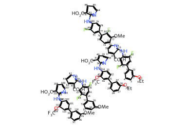 CCOc1cccc(-c2cc(F)c(Nc3ncccc3C(=O)O)cc2F)c1.CCOc1cccc(-c2ccc(Nc3ncccc3C(=O)O)c(OC(F)(F)F)c2)c1.COc1cccc(-c2cc(F)c(Nc3ncccc3C(=O)O)cc2F)c1.COc1cccc(-c2ccc(Nc3ncccc3C(=O)O)c(F)c2)c1F.COc1cccc(-c2ccc(Nc3ncccc3C(=O)O)c(OC(F)(F)F)c2)c1